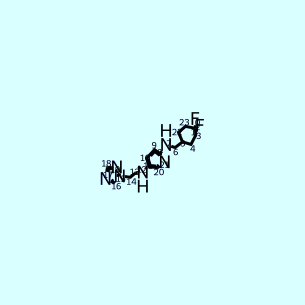 FC1(F)CCC(CNc2ccc(NCCn3cncn3)cn2)CC1